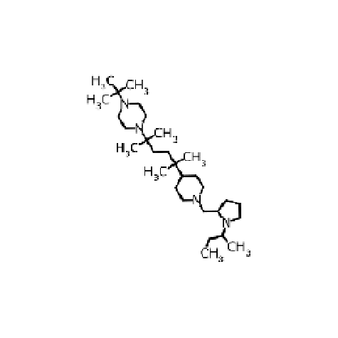 CCC(C)N1CCCC1CN1CCC(C(C)(C)CCC(C)(C)N2CCN(C(C)(C)C)CC2)CC1